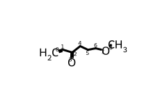 C=CC(=O)CCCOC